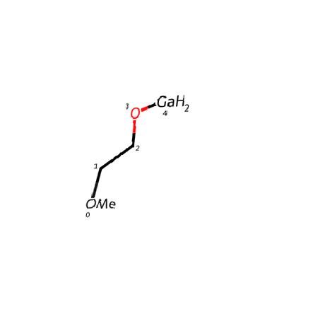 COCC[O][GaH2]